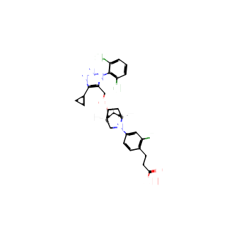 O=C(O)CCc1ccc(N2C[C@@H]3C[C@H]2C[C@H]3OCc2c(C3CC3)nnn2-c2c(Cl)cccc2Cl)cc1F